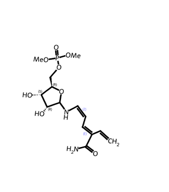 C=C/C(=C\C=C/NC1O[C@H](COP(=O)(OC)OC)[C@@H](O)[C@H]1O)C(N)=O